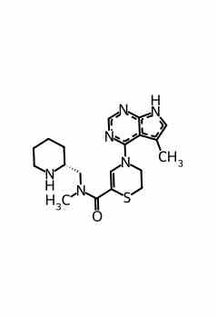 Cc1c[nH]c2ncnc(N3C=C(C(=O)N(C)C[C@H]4CCCCN4)SCC3)c12